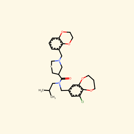 CC(C)CN(Cc1cc(Cl)c2c(c1)OCCCO2)C(=O)C1CCCN(Cc2cccc3c2OCCO3)C1